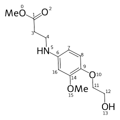 COC(=O)CCNc1ccc(OCCO)c(OC)c1